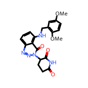 COc1ccc(OC)c(CNc2cccc3nnn(C4CCC(=O)NC4=O)c(=O)c23)c1